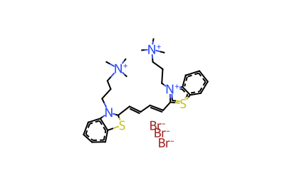 C[N+](C)(C)CCCN1c2ccccc2SC1C=CC=Cc1sc2ccccc2[n+]1CCC[N+](C)(C)C.[Br-].[Br-].[Br-]